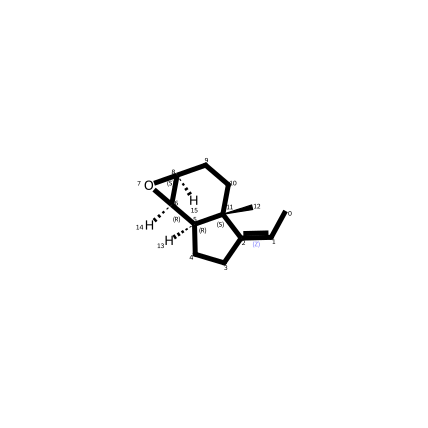 C/C=C1/CC[C@H]2[C@H]3O[C@H]3CC[C@]12C